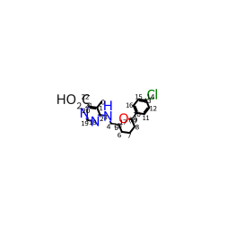 Cc1c(NC[C@@H]2CCC[C@H](c3ccc(Cl)cc3)O2)ncnc1C(=O)O